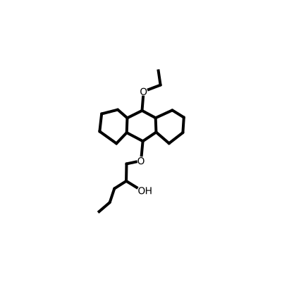 CCCC(O)COC1C2CCCCC2C(OCC)C2CCCCC21